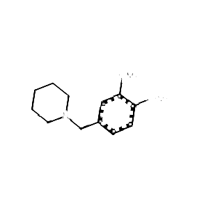 COc1ccc(CN2CCCCC2)cc1OC